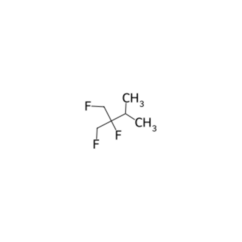 CC(C)C(F)(CF)CF